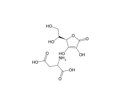 NC(CC(=O)O)C(=O)O.O=C1O[C@H](C(O)CO)C(O)=C1O